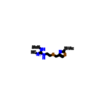 CNN/C(=N\C#N)NCCSCc1csc(NC(C)=O)n1